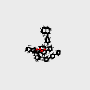 c1ccc(-c2ccc(-c3cccc(N(c4cccc(-c5ccccc5N(c5ccc(-c6ccc7ccccc7c6)cc5)c5ccc(-c6cccc7ccccc67)cc5)c4)c4cccc5sc6ccccc6c45)c3)cc2)cc1